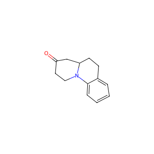 O=C1CCN2c3ccccc3CCC2C1